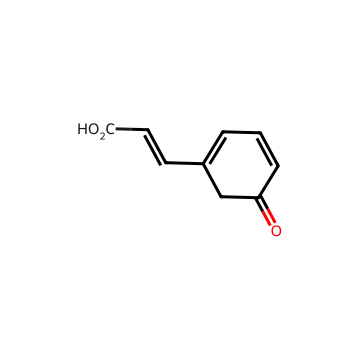 O=C(O)C=CC1=CC=CC(=O)C1